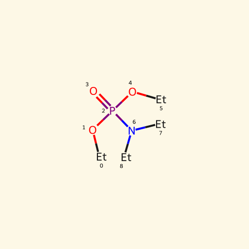 CCOP(=O)(OCC)N(CC)CC